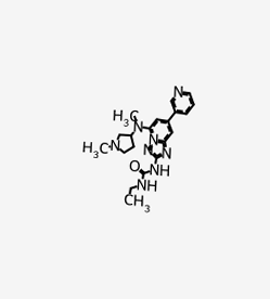 CCNC(=O)Nc1nc2cc(-c3cccnc3)cc(N(C)C3CCN(C)C3)n2n1